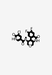 CN(C(=O)c1c[nH]c(=O)c(Cl)c1)C1COCc2[nH]c(=O)c3cc(F)c(F)cc3c21